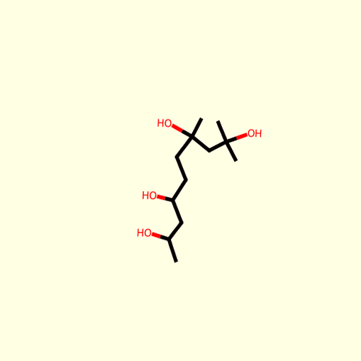 CC(O)CC(O)CCC(C)(O)CC(C)(C)O